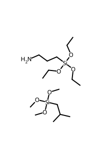 CCO[Si](CCCN)(OCC)OCC.CO[Si](CC(C)C)(OC)OC